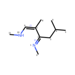 C/N=C(CC(C)C)/C(C)=C\NC